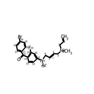 C=CCN(C)C/C=C/CN(C(C)=O)c1ccc(C(=O)c2ccc(Br)cc2)c(F)c1